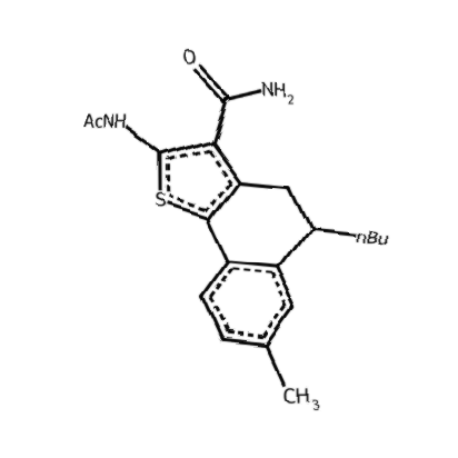 CCCCC1Cc2c(sc(NC(C)=O)c2C(N)=O)-c2ccc(C)cc21